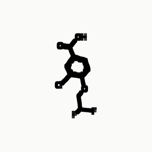 O=C(O)c1ccc(OCC(F)F)c(Cl)c1